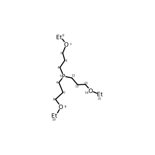 CCOCCCP(CCCOCC)CCCOCC